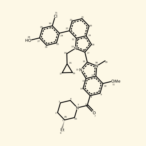 CC[C@@H]1CCCN(C(=O)c2cc(OC)c3c(c2)nc(-c2cc4cccc(-c5ccc(O)cc5Cl)c4n2CC2CC2)n3C)C1